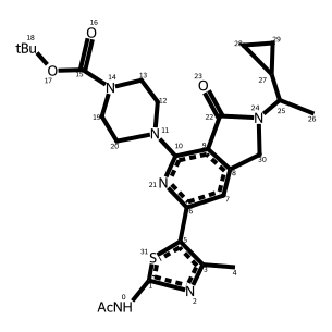 CC(=O)Nc1nc(C)c(-c2cc3c(c(N4CCN(C(=O)OC(C)(C)C)CC4)n2)C(=O)N(C(C)C2CC2)C3)s1